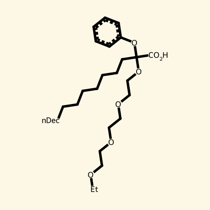 CCCCCCCCCCCCCCCCCC(OCCOCCOCCOCC)(Oc1ccccc1)C(=O)O